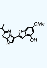 COc1cc(O)c2cc(-c3cnc4sc(C(C)F)nn34)oc2c1